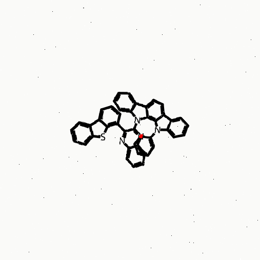 c1ccc(-n2c3ccccc3c3ccc4c5ccccc5n(-c5nc6ccccc6nc5-c5cccc6c5sc5ccccc56)c4c32)cc1